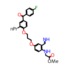 CCCc1cc(C(=O)c2ccc(F)cc2)ccc1OCCCOc1ccc(NCC(=O)OC)c(C=N)c1